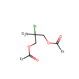 CCC(=O)OCC(Br)(COC(=O)CC)[N+](=O)[O-]